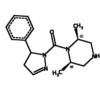 C[C@@H]1CNC[C@H](C)N1C(=O)N1N=CCC1c1ccccc1